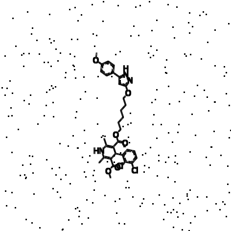 COC(=O)C1=C(C)NC(C)=C(C(=O)OCCCCCCOc2cc(-c3ccc(OC)cc3)[nH]n2)C1c1cccc(Cl)c1Cl